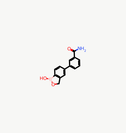 NC(=O)c1cccc(-c2ccc3c(c2)COB3O)c1